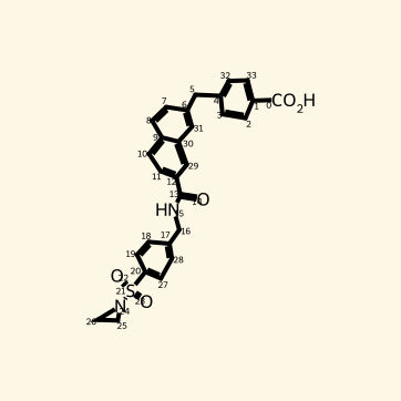 O=C(O)c1ccc(Cc2ccc3ccc(C(=O)NCc4ccc(S(=O)(=O)N5CC5)cc4)cc3c2)cc1